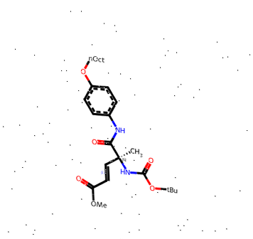 CCCCCCCCOc1ccc(NC(=O)[C@](C)(/C=C/C(=O)OC)NC(=O)OC(C)(C)C)cc1